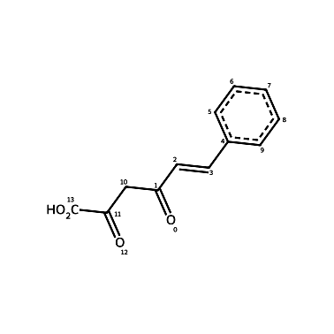 O=C(/C=C/c1ccccc1)CC(=O)C(=O)O